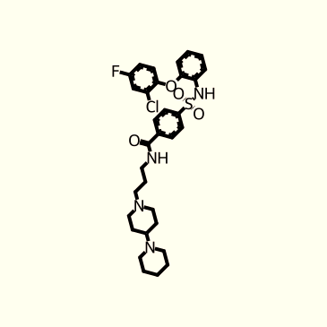 O=C(NCCCN1CCC(N2CCCCC2)CC1)c1ccc(S(=O)(=O)Nc2ccccc2Oc2ccc(F)cc2Cl)cc1